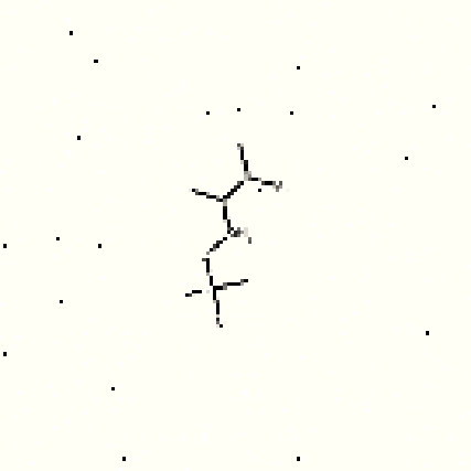 CC(=O)N(C)C(C)[SiH2]OC(C)(C)O